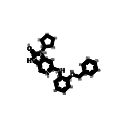 O=c1[nH]c2cnc(Nc3ccccc3OCc3ccccc3)cc2n1C1CCCC1